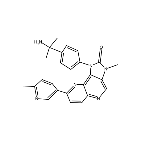 Cc1ccc(-c2ccc3ncc4c(c3n2)n(-c2ccc(C(C)(C)N)cc2)c(=O)n4C)cn1